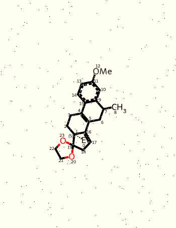 CC[C@]12CCC3=C(CC(C)c4cc(OC)ccc43)C1=CCC21OCCO1